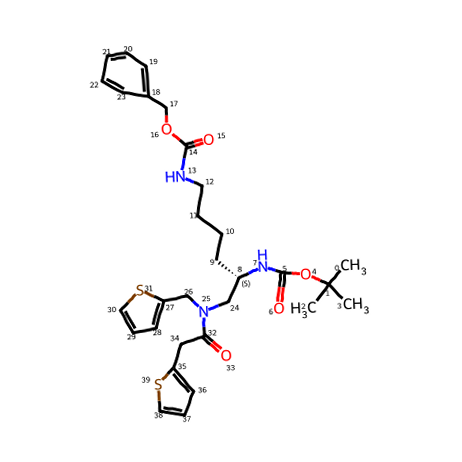 CC(C)(C)OC(=O)N[C@@H](CCCCNC(=O)OCc1ccccc1)CN(Cc1cccs1)C(=O)Cc1cccs1